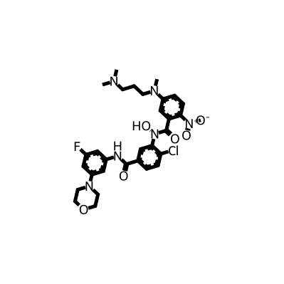 CN(C)CCCN(C)c1ccc([N+](=O)[O-])c(C(=O)N(O)c2cc(C(=O)Nc3cc(F)cc(N4CCOCC4)c3)ccc2Cl)c1